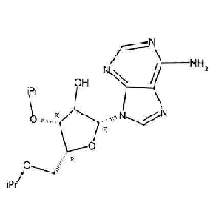 CC(C)OC[C@H]1O[C@@H](n2cnc3c(N)ncnc32)C(O)[C@H]1OC(C)C